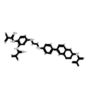 C=C(C)C(=C)OC1CCC2C=C(c3ccc(OCCOc4ccc(OC(=O)C(=C)C)c(OC(=O)C(=C)C)c4)cc3)C=CC2C1